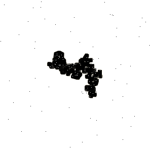 CCC(C)C(C(CC(=O)N1CCC[C@H]1C(OC)C(C)C(=O)NC(Cc1ccccc1)P(=O)(O)CC(=O)OC)OC)N(C)C(=O)C(/N=C(/N(C)C)N1CCN(C(=O)OC(C)(C)C)CC1)C(C)C